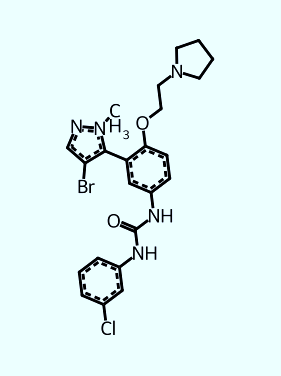 Cn1ncc(Br)c1-c1cc(NC(=O)Nc2cccc(Cl)c2)ccc1OCCN1CCCC1